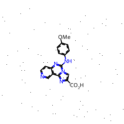 COc1ccc(Nc2nc3ccncc3c3nc(C(=O)O)cn23)cc1